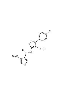 COc1cscc1C(=O)Nc1scc(-c2ccc(Cl)cc2)c1C(=O)O